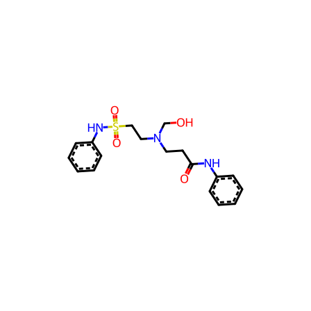 O=C(CCN(CO)CCS(=O)(=O)Nc1ccccc1)Nc1ccccc1